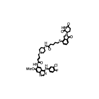 COc1cc2ncnc(Nc3ccc(F)c(Cl)c3)c2cc1NC(=O)/C=C/CN1CCC(NC(=O)CCCCSc2cccc3c2CN(C2CCC(=O)NC2=O)C3=O)CC1